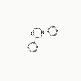 c1ccc([C@H]2CN(c3ccccc3)CCO2)cc1